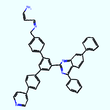 N/C=C\C=N/Cc1ccc(-c2cc(-c3ccc(-c4ccncc4)cc3)cc(-c3nc(-c4ccccc4)c4ccc(-c5ccccc5)cc4n3)c2)cc1